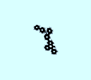 CC1c2ccc(-c3ccc4c(c3)c3ccccc3n4-c3ccc(-c4ccccc4)cc3)cc2-c2ccccc2C1c1ccccc1